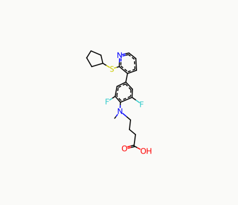 CN(CCCC(=O)O)c1c(F)cc(-c2cccnc2SC2CCCC2)cc1F